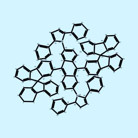 C1=CC2=C(CC1)c1ccccc1C21c2ccccc2-c2ccc(-c3c4ccc(N5C(c6ccccc6)=CCC5c5ccccc5)cc4c(-c4ccc5c(c4)C4(c6ccccc6-c6ccccc64)c4ccccc4-5)c4ccc(-n5c(-c6ccccc6)ccc5-c5ccccc5)cc34)cc21